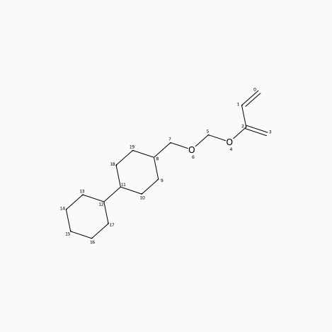 C=CC(=C)OCOCC1CCC(C2CCCCC2)CC1